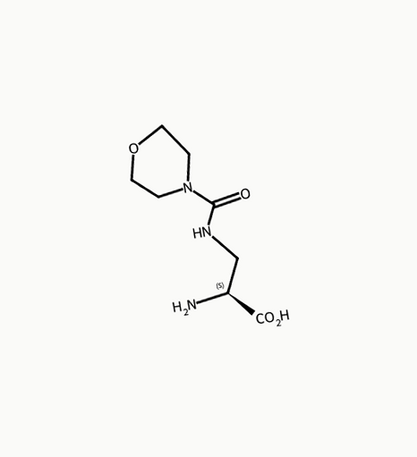 N[C@@H](CNC(=O)N1CCOCC1)C(=O)O